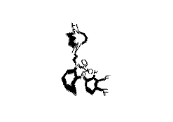 O=S1(=O)N(CCN2CCNCC2)c2ccccc2N1c1ccc(F)c(F)c1F